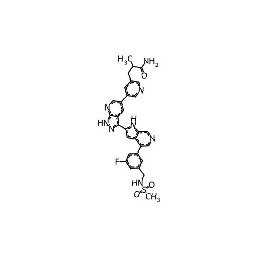 CC(Cc1cncc(-c2cnc3[nH]nc(-c4cc5c(-c6cc(F)cc(CNS(C)(=O)=O)c6)cncc5[nH]4)c3c2)c1)C(N)=O